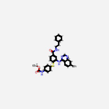 CC(C)c1ccc2c(Nc3cc(C(=O)NCCc4ccccc4)ccc3Sc3ccc(NC(=O)OC(C)(C)C)cc3)ncnc2c1